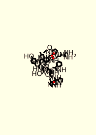 CCNC(=O)[C@@H]1CCCN1C(=O)[C@H](CCCNC(=N)N)NC(=O)[C@H](CC(C)C)NC(=O)[C@@H](CC(C)C)NC(=O)[C@H](Cc1ccc(O)cc1)NC(=O)[C@H](CO)NC(=O)[C@H](Cc1c[nH]c2ccccc12)NC(=O)[C@H](Cc1c[nH]cn1)NC(=O)C1CCCN1